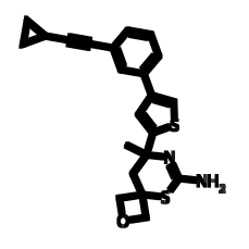 CC1(c2cc(-c3cccc(C#CC4CC4)c3)cs2)CC2(COC2)SC(N)=N1